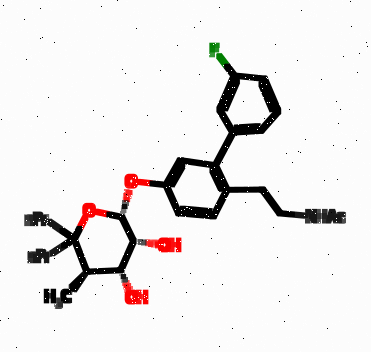 CCCC1(CCC)O[C@H](Oc2ccc(CCNC(C)=O)c(-c3cccc(F)c3)c2)[C@H](O)[C@H](O)[C@H]1C